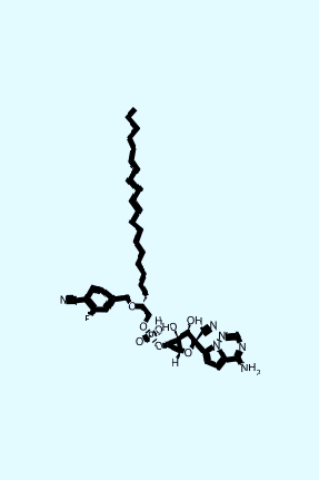 CCCCCCCCCCCCCCCCCCC[C@H](COP(=O)(O)OC1[C@H]2O[C@@](C#N)(c3ccc4c(N)ncnn34)[C@H](O)[C@@]12O)OCc1ccc(C#N)c(F)c1